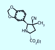 CCOC(=O)[C@H]1C[C@](C)(C#N)[C@H](c2ccc3c(c2)OCO3)N1